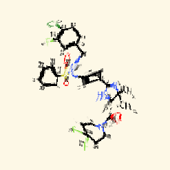 CC1(C)N=C(C23CC(N(Cc4ccc(Cl)c(F)c4)S(=O)(=O)c4ccccc4)(C2)C3)N[C@H]1C(=O)N1CCC(F)(F)CC1